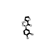 CCCON(C(=O)c1ccco1)c1ccc(Br)c(Br)c1